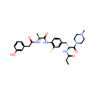 CCC(=O)N[C@H](Cc1ccc(NC(=O)[C@H](C)NC(=O)Cc2cccc(O)c2)c(F)c1)C(=O)N1CCN(C)CC1